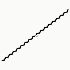 CCCCCCCCCCCCCCCCC[Si]CCCCCCCCCCCCCCCCC